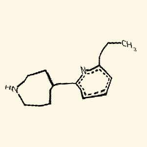 CCc1cccc(C2CCNCC2)n1